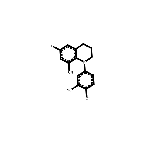 N#Cc1cc(N2CCCc3cc(F)cc(C#N)c32)ccc1C(F)(F)F